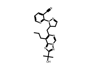 CCCc1c(CC2CC=NN2c2ncccc2C#N)ncn2nc(C(C)(C)O)nc12